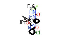 CC(O[Si](C(C)C)(C(C)C)C(C)C)c1nc2cccc(Cl)c2c(=O)n1-c1cccc(NC(=O)NCC(F)(F)C(F)(F)F)c1